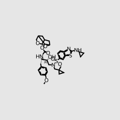 COc1ccc(C[C@H](NC(=O)OC2C3COC4OC2CC4C3)[C@H](O)CN(CC2(C)CC2)S(=O)(=O)c2ccc3nc(NC4CC4)sc3c2)cc1